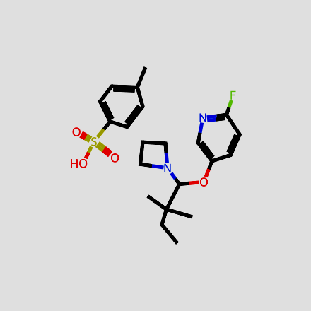 CCC(C)(C)C(Oc1ccc(F)nc1)N1CCC1.Cc1ccc(S(=O)(=O)O)cc1